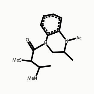 CNC(C)C(SC)C(=O)N1CC(C)N(C(C)=O)c2ccccc21